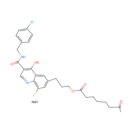 CC(=O)CCCCCC(=O)OCCCc1cc(F)c2ncc(C(=O)NCc3ccc(Cl)cc3)c(O)c2c1.[NaH]